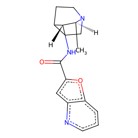 C[C@H]1[C@H](NC(=O)c2cc3ncccc3o2)C2CCN1CC2